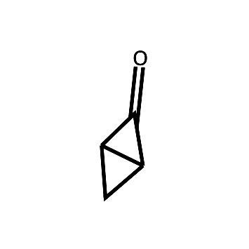 O=C1C2CC12